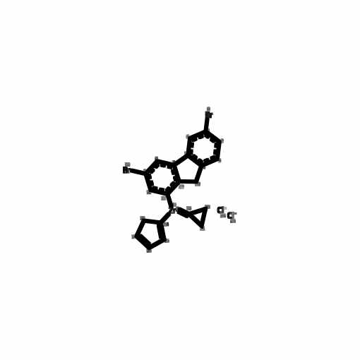 Brc1ccc2c(c1)-c1cc(Br)c[c]([Zr+2]([C]3=CC=CC3)=[C]3CC3)c1C2.[Cl-].[Cl-]